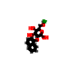 O[C@H]1[C@H](O)[C@@H](COBr)O[C@H](O)[C@@H]1Oc1cccc2ccccc12